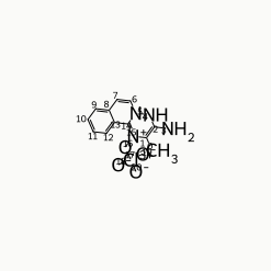 CC1=C(N)NN2C=Cc3ccccc3C2=[N+]1O[Cl+3]([O-])([O-])[O-]